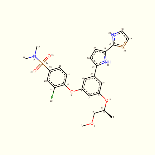 COC[C@H](C)Oc1cc(Oc2ccc(S(=O)(=O)N(C)C)cc2F)cc(-c2ccc(-c3nccs3)[nH]2)c1